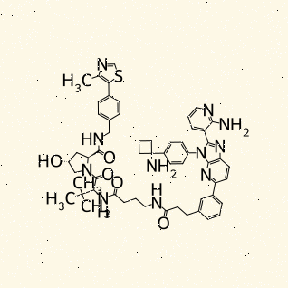 Cc1ncsc1-c1ccc(CNC(=O)[C@@H]2C[C@@H](O)CN2C(=O)C(NC(=O)CCCNC(=O)CCc2cccc(-c3ccc4nc(-c5cccnc5N)n(-c5ccc(C6(N)CCC6)cc5)c4n3)c2)C(C)(C)C)cc1